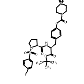 CC(C)(C)OC(=O)[C@H](Cc1ccc(OC(=O)N2CCS(=O)(=O)CC2)cc1)NC(=O)[C@@H]1CCCN1S(=O)(=O)c1ccc(F)cc1